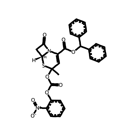 CC1(OC(=O)Oc2ccccc2[N+](=O)[O-])C=C(C(=O)OC(c2ccccc2)c2ccccc2)N2C(=O)C[C@H]2S1